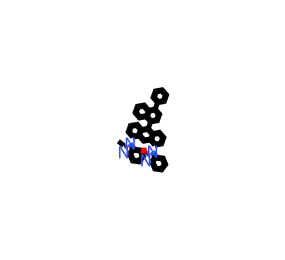 Cc1nc2ccccc2n1-c1cccc2c(-c3ccc(-c4ccccc4)c4ccccc34)c3cccc(-n4c(C)nc5ccccc54)c3cc12